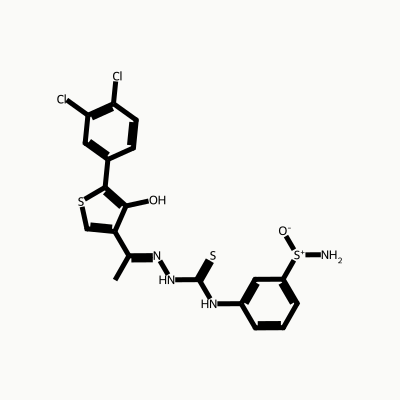 C/C(=N\NC(=S)Nc1cccc([S+](N)[O-])c1)c1csc(-c2ccc(Cl)c(Cl)c2)c1O